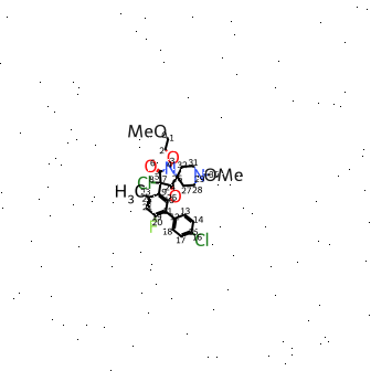 COCCON1C(=O)C(Cl)(c2cc(-c3ccc(Cl)cc3)c(F)cc2C)C(=O)C12CCN(OC)CC2